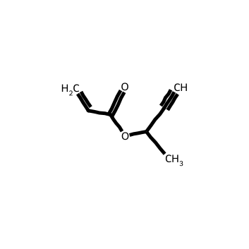 C#CC(C)OC(=O)C=C